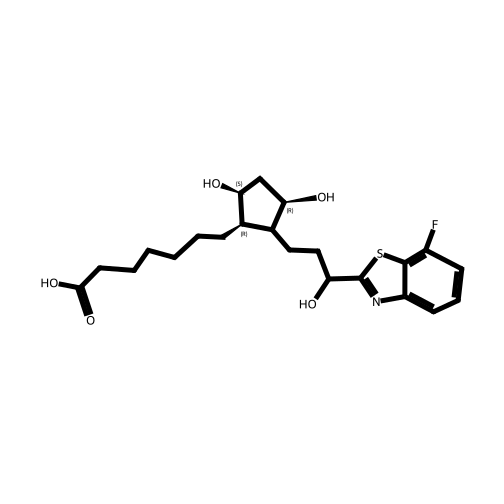 O=C(O)CCCCCC[C@@H]1C(CCC(O)c2nc3cccc(F)c3s2)[C@H](O)C[C@@H]1O